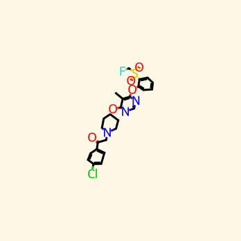 Cc1c(Oc2ccccc2S(=O)(=O)CF)ncnc1OC1CCN(CC(=O)c2ccc(Cl)cc2)CC1